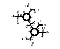 O=C(O)c1c(C(F)(F)F)cc(B(O)O)cc1S(=O)(=O)c1cc(B(O)O)cc(C(F)(F)F)c1